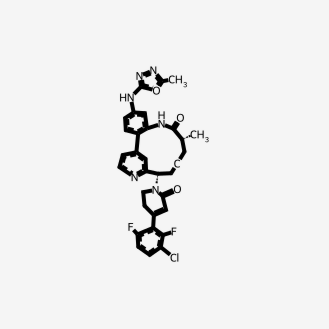 Cc1nnc(Nc2ccc3c(c2)NC(=O)[C@H](C)CCC[C@H](N2CCC(c4c(F)ccc(Cl)c4F)=CC2=O)c2cc-3ccn2)o1